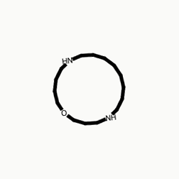 C1CCCCNCCCOCCCCNCCC1